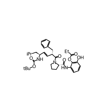 CCC(=O)Oc1c(O)cccc1NC(=O)[C@@H]1CCCN1C(=O)[C@H](/C=C/[C@H](CC(C)C)NC(=O)OC(C)(C)C)Cc1ccccc1